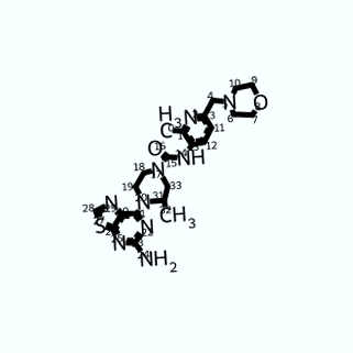 Cc1nc(CN2CCOCC2)ccc1NC(=O)N1CCN(c2nc(N)nc3scnc23)C(C)C1